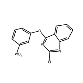 O=[N+]([O-])c1cccc(Oc2nc(Cl)nc3ccccc23)c1